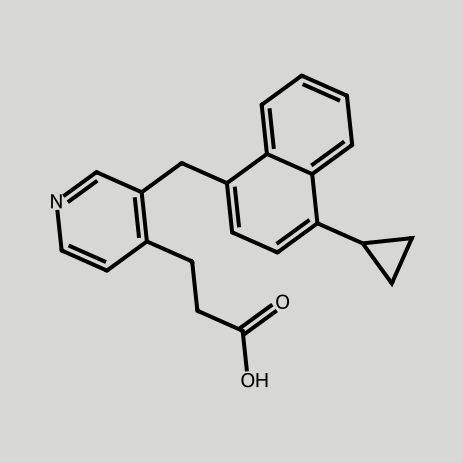 O=C(O)CCc1ccncc1Cc1ccc(C2CC2)c2ccccc12